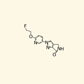 O=C1NCc2cn(-c3ccc(OCCF)nc3)nc21